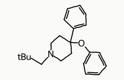 CC(C)(C)CN1CCC(Oc2ccccc2)(c2ccccc2)CC1